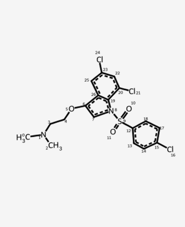 CN(C)CCOc1cn(S(=O)(=O)c2ccc(Cl)cc2)c2c(Cl)cc(Cl)cc12